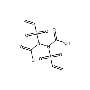 C=CS(=O)(=O)N(C(=O)O)N(C(=O)O)S(=O)(=O)C=C